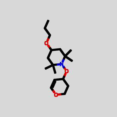 CCCOC1CC(C)(C)N(OC2C=COCC2)C(C)(C)C1